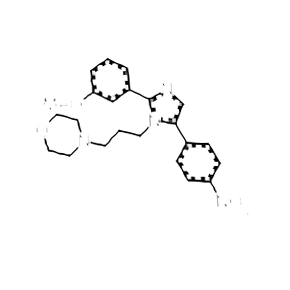 COc1cccc(-c2ncc(-c3ccc([N+](=O)[O-])cc3)n2CCCN2CCOCC2)c1